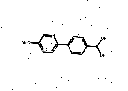 COc1cnc(-c2ccc(B(O)O)cc2)cn1